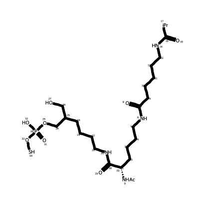 CC(=O)N[C@@H](CCCCNC(=O)CCCCCNC(=O)C(C)C)C(=O)NCCCCC(CO)COP(=O)(O)OS